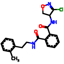 Cc1ccccc1CCNC(=O)c1ccccc1C(=O)NC1CON=C1Cl